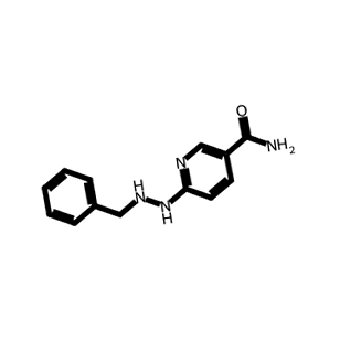 NC(=O)c1ccc(NNCc2ccccc2)nc1